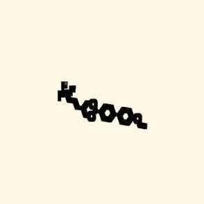 CCO[C@H]1CC[C@H](C2CCC([C@H]3OC[C@H](CCCC(F)(F)F)CO3)CC2)CC1